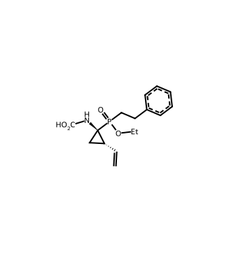 C=C[C@@H]1C[C@]1(NC(=O)O)P(=O)(CCc1ccccc1)OCC